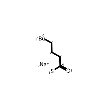 CCCCCCCC(=O)[S-].[Na+]